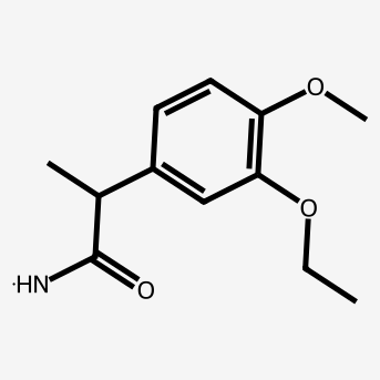 CCOc1cc(C(C)C([NH])=O)ccc1OC